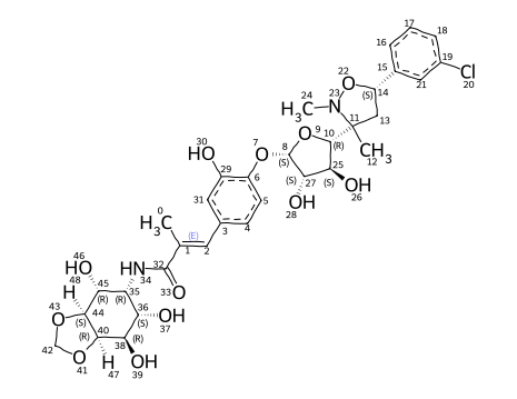 C/C(=C\c1ccc(O[C@@H]2O[C@H](C3(C)C[C@@H](c4cccc(Cl)c4)ON3C)[C@@H](O)[C@@H]2O)c(O)c1)C(=O)N[C@@H]1[C@H](O)[C@@H](O)[C@H]2OCO[C@H]2[C@@H]1O